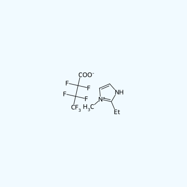 CCc1[nH]cc[n+]1C.O=C([O-])C(F)(F)C(F)(F)C(F)(F)F